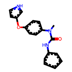 CN(C(=O)Nc1ccccc1)c1ccc(Oc2cc[nH]c2)cc1